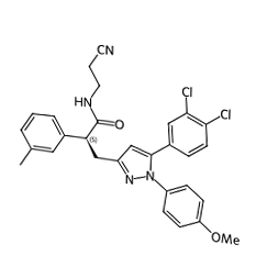 COc1ccc(-n2nc(C[C@H](C(=O)NCCC#N)c3cccc(C)c3)cc2-c2ccc(Cl)c(Cl)c2)cc1